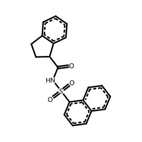 O=C(NS(=O)(=O)c1cccc2ccccc12)C1CCc2ccccc21